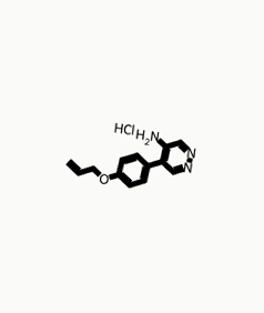 C=CCOc1ccc(-c2cnncc2N)cc1.Cl